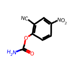 N#Cc1cc([N+](=O)[O-])ccc1OC(N)=O